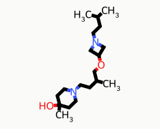 CC(C)CCN1CC(OCC(C)CCN2CCC(C)(O)CC2)C1